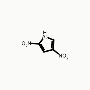 O=[N+]([O-])C1=C[AsH]C([N+](=O)[O-])=C1